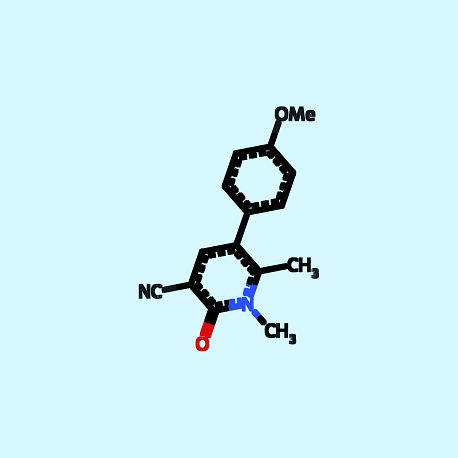 COc1ccc(-c2cc(C#N)c(=O)n(C)c2C)cc1